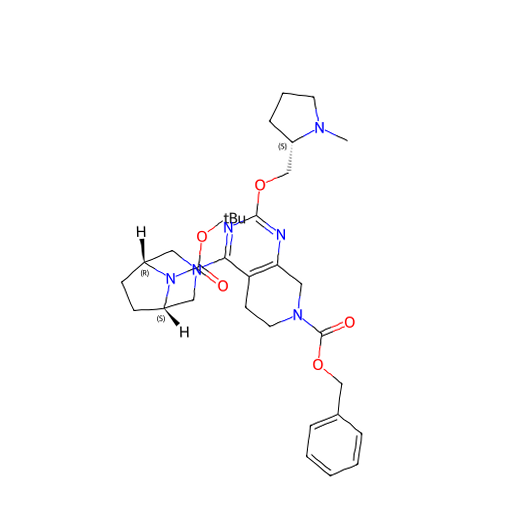 CN1CCC[C@H]1COc1nc2c(c(N3C[C@H]4CC[C@@H](C3)N4C(=O)OC(C)(C)C)n1)CCN(C(=O)OCc1ccccc1)C2